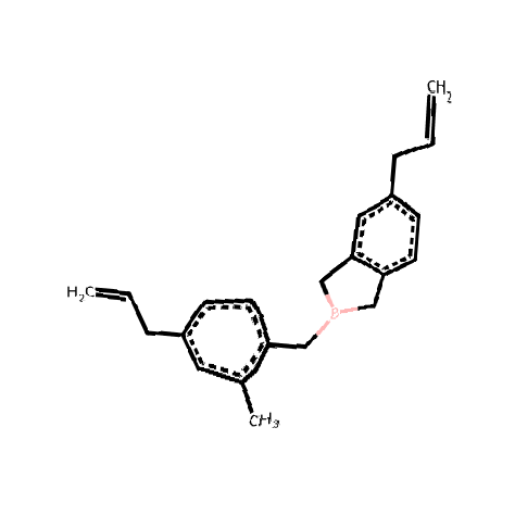 C=CCc1ccc(CB2Cc3ccc(CC=C)cc3C2)c(C)c1